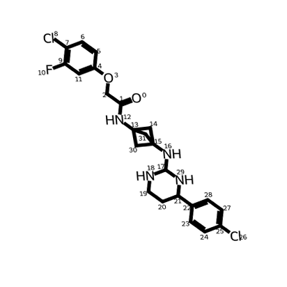 O=C(COc1ccc(Cl)c(F)c1)NC12CC(NC3NCCC(c4ccc(Cl)cc4)N3)(C1)C2